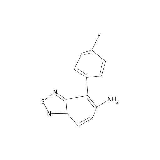 Nc1ccc2nsnc2c1-c1ccc(F)cc1